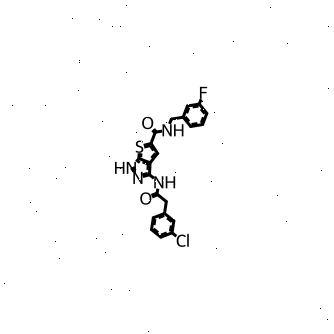 O=C(Cc1cccc(Cl)c1)Nc1n[nH]c2sc(C(=O)NCc3cccc(F)c3)cc12